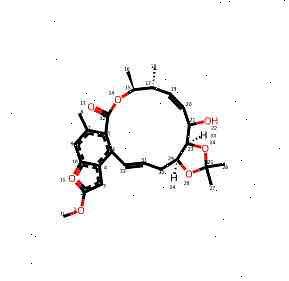 COc1cc2c3c(c(C)cc2o1)C(=O)O[C@@H](C)[C@H](C)/C=C\C(O)[C@H]1OC(C)(C)O[C@H]1C/C=C/3